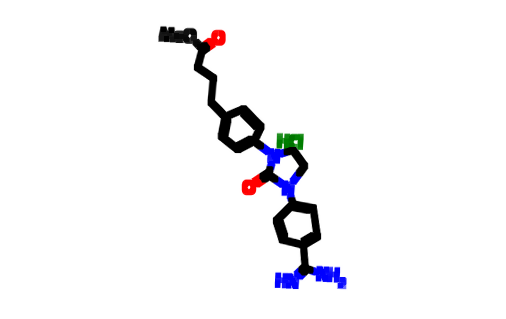 COC(=O)CCCc1ccc(N2CCN(c3ccc(C(=N)N)cc3)C2=O)cc1.Cl